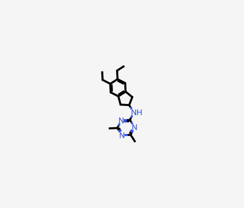 CCc1cc2c(cc1CC)CC(Nc1nc(C)nc(C)n1)C2